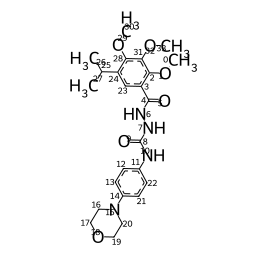 COc1c(C(=O)NNC(=O)Nc2ccc(N3CCOCC3)cc2)cc(C(C)C)c(OC)c1OC